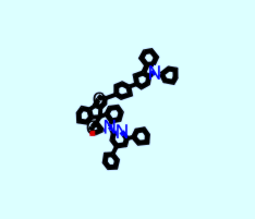 c1ccc(-c2cc(-c3ccccc3)nc(N3c4ccccc4C4(c5ccccc5-c5ccc(-c6ccc(-c7ccc8c(c7)c7ccccc7n8-c7ccccc7)cc6)cc54)c4ccccc43)c2)cc1